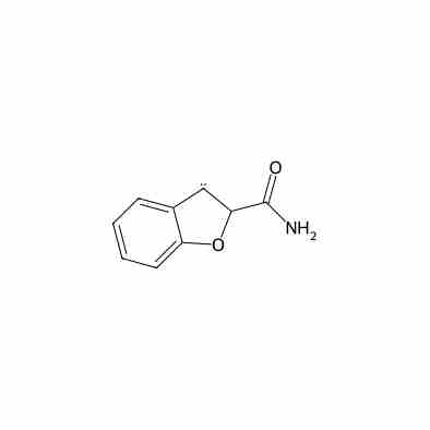 NC(=O)C1[C]c2ccccc2O1